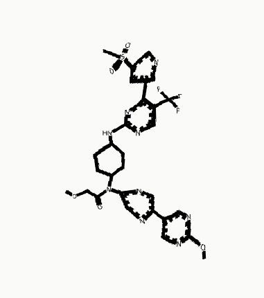 COCC(=O)N(c1cnc(-c2cnc(OC)nc2)cn1)C1CCC(Nc2ncc(C(F)(F)F)c(-c3cncc(S(C)(=O)=O)c3)n2)CC1